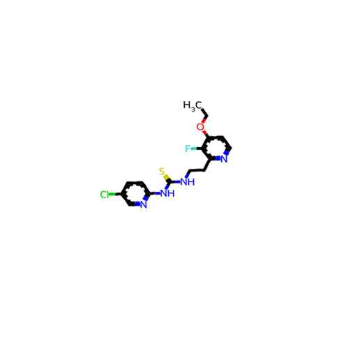 CCOc1ccnc(CCNC(=S)Nc2ccc(Cl)cn2)c1F